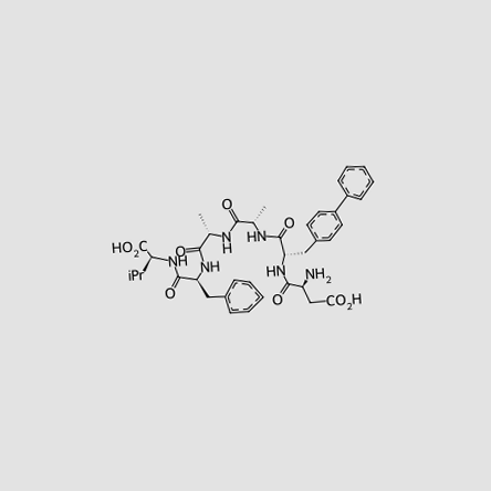 CC(C)[C@H](NC(=O)[C@H](Cc1ccccc1)NC(=O)[C@H](C)NC(=O)[C@H](C)NC(=O)[C@H](Cc1ccc(-c2ccccc2)cc1)NC(=O)[C@@H](N)CC(=O)O)C(=O)O